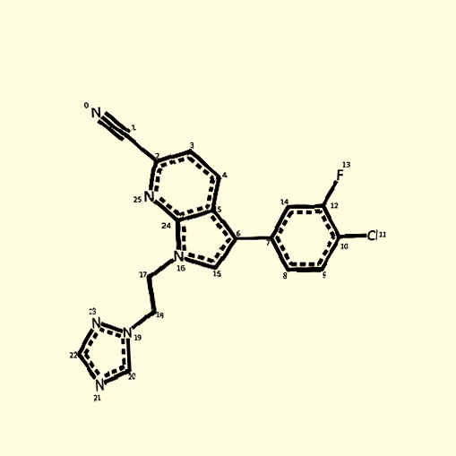 N#Cc1ccc2c(-c3ccc(Cl)c(F)c3)cn(CCn3cncn3)c2n1